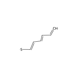 [CH]=CC=CC=C[S]